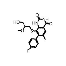 CO[C@@H](CO)CSc1c(-c2ccc(F)cc2)c(C)cc2c(=O)[nH]c(=O)[nH]c12